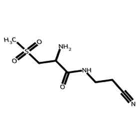 CS(=O)(=O)CC(N)C(=O)NCCC#N